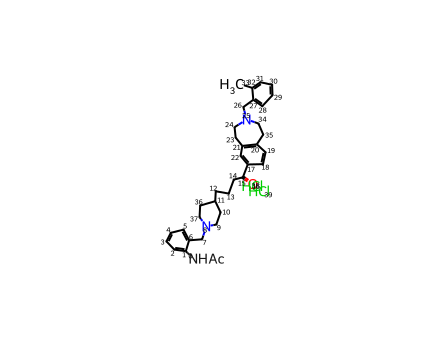 CC(=O)Nc1ccccc1CN1CCC(CCCC(=O)c2ccc3c(c2)CCN(Cc2ccccc2C)CC3)CC1.Cl.Cl